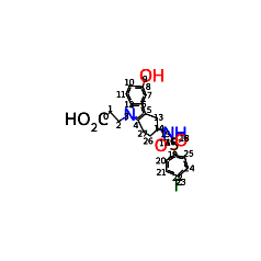 O=C(O)CCn1c2c(c3cc(O)ccc31)CC(NS(=O)(=O)c1ccc(F)cc1)CC2